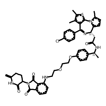 C=C1CCC(N2C(=O)c3cccc(NCCOCCOc4ccc([C@H](C)NC(=O)C[C@@H]5N=C(c6ccc(Cl)cc6)c6c(sc(C)c6C)-n6c(C)ccc65)cc4)c3C2=O)C(=O)N1